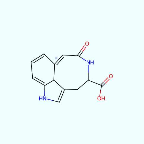 O=C1/C=C2/C=CC=C3NC=C(CC(C(=O)O)N1)C32